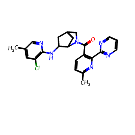 Cc1cnc(NC2CC3CC2N(C(=O)c2ccc(C)nc2-c2ncccn2)C3)c(Cl)c1